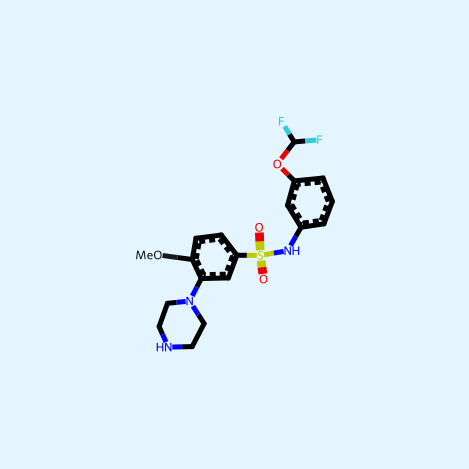 COc1ccc(S(=O)(=O)Nc2cccc(OC(F)F)c2)cc1N1CCNCC1